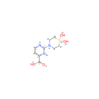 O=C(O)c1ccnc(N2CCS(O)(O)CC2)n1